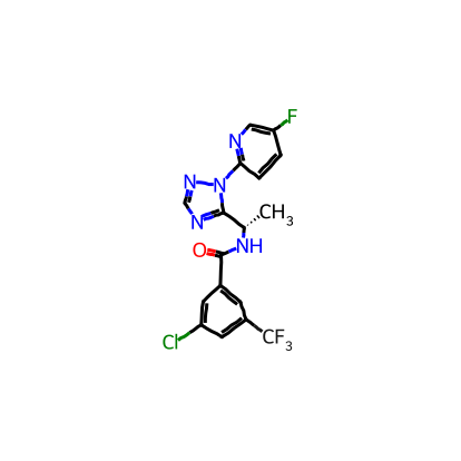 C[C@H](NC(=O)c1cc(Cl)cc(C(F)(F)F)c1)c1ncnn1-c1ccc(F)cn1